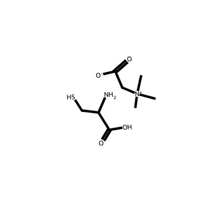 C[N+](C)(C)CC(=O)[O-].NC(CS)C(=O)O